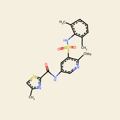 COc1ncc(NC(=O)c2nc(C)cs2)cc1S(=O)(=O)Nc1c(C)cccc1C